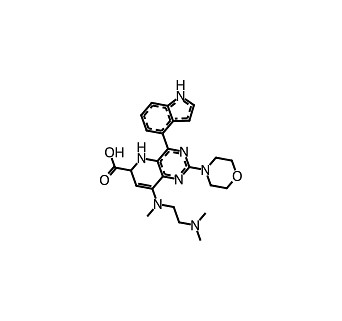 CN(C)CCN(C)C1=CC(C(=O)O)Nc2c1nc(N1CCOCC1)nc2-c1cccc2[nH]ccc12